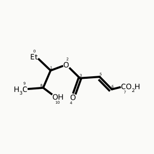 CCC(OC(=O)/C=C/C(=O)O)C(C)O